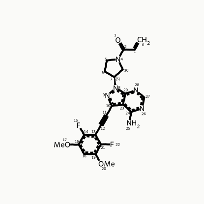 C=CC(=O)N1CC[C@H](n2nc(C#Cc3c(F)c(OC)cc(OC)c3F)c3c(N)ncnc32)C1